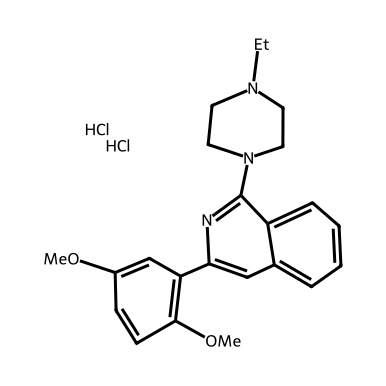 CCN1CCN(c2nc(-c3cc(OC)ccc3OC)cc3ccccc23)CC1.Cl.Cl